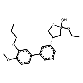 CCCOc1cc(-c2cncc([C@@H]3CO[B-](O)(OCC)C3)c2)ccc1OC